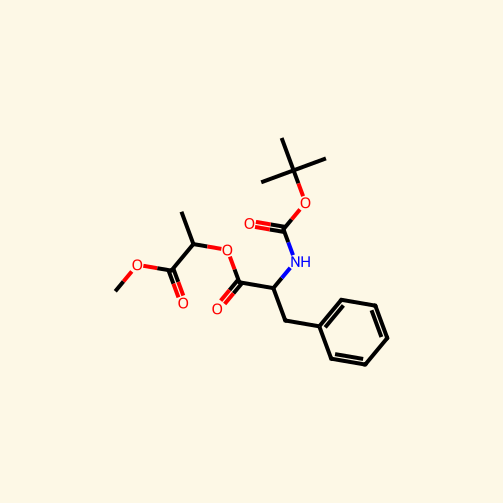 COC(=O)C(C)OC(=O)C(Cc1ccccc1)NC(=O)OC(C)(C)C